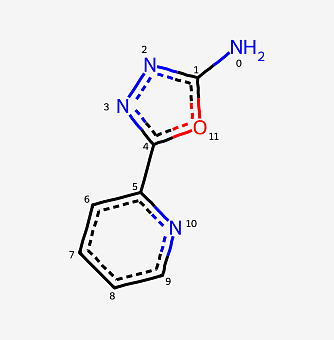 Nc1nnc(-c2ccccn2)o1